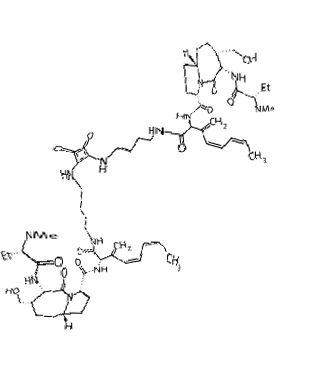 C=C(/C=C\C=C/C)[C@H](NC(=O)[C@@H]1CC[C@@H]2CC[C@H](CO)[C@H](NC(=O)[C@H](CC)NC)C(=O)N21)C(=O)NCCCCNc1c(NCCCCNC(=O)[C@@H](NC(=O)[C@@H]2CC[C@@H]3CC[C@H](CO)[C@H](NC(=O)[C@H](CC)NC)C(=O)N32)C(=C)/C=C\C=C/C)c(=O)c1=O